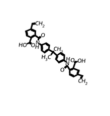 C=Cc1ccc(C(=O)Nc2ccc(C(C)(C)c3ccc(NC(=O)c4cc(C=C)ccc4C(=O)O)cc3)cc2)c(C(=O)O)c1